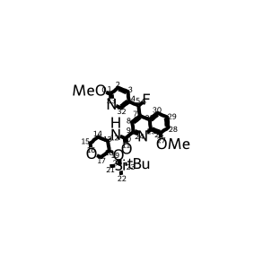 COc1ccc(C(F)c2cc(C(=O)N[C@H]3CCOC[C@@H]3O[Si](C)(C)C(C)(C)C)nc3c(OC)cccc23)cn1